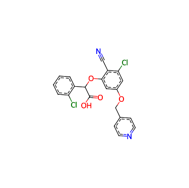 N#Cc1c(Cl)cc(OCc2ccncc2)cc1OC(C(=O)O)c1ccccc1Cl